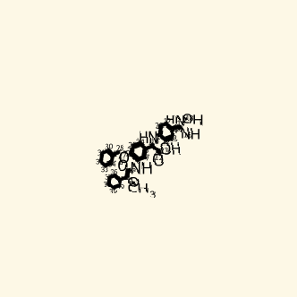 COC(C(=O)Nc1cc(C(Nc2ccc(C(=N)NO)cc2)C(=O)O)ccc1OCc1ccccc1)c1ccccc1